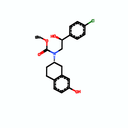 CC(C)(C)OC(=O)N(C[C@@H](O)c1ccc(Cl)cc1)[C@H]1CCc2ccc(O)cc2C1